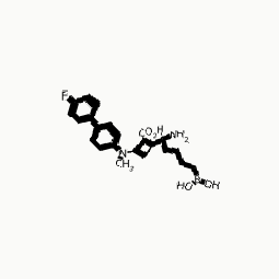 CN(c1ccc(-c2ccc(F)cc2)cc1)[C@H]1C[C@H]([C@@](N)(CCCCB(O)O)C(=O)O)C1